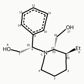 CC[C@H]1CCCN([C@H](CO)c2ccccc2)[C@@H]1CO